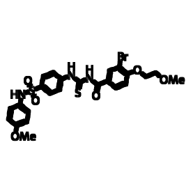 COCCOc1ccc(C(=O)NC(=S)Nc2ccc(S(=O)(=O)Nc3ccc(OC)cc3)cc2)cc1Br